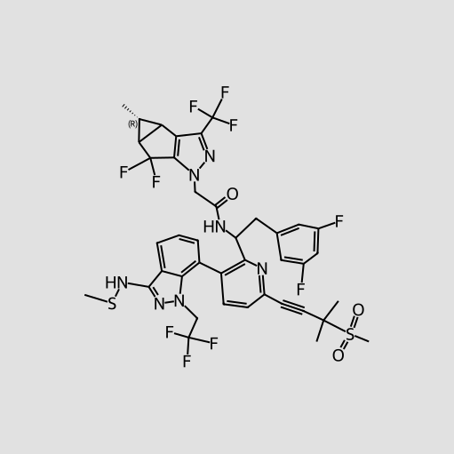 CSNc1nn(CC(F)(F)F)c2c(-c3ccc(C#CC(C)(C)S(C)(=O)=O)nc3C(Cc3cc(F)cc(F)c3)NC(=O)Cn3nc(C(F)(F)F)c4c3C(F)(F)C3C4[C@H]3C)cccc12